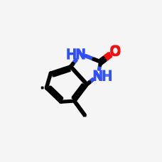 Cc1c[c]cc2[nH]c(=O)[nH]c12